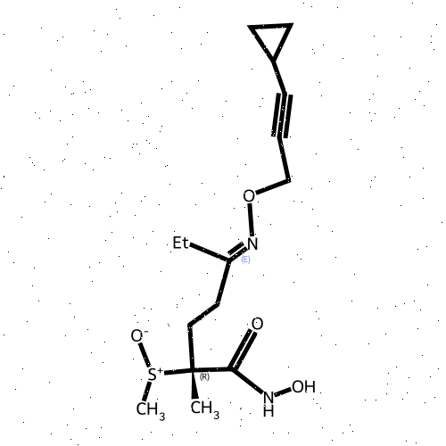 CC/C(CC[C@](C)(C(=O)NO)[S+](C)[O-])=N\OCC#CC1CC1